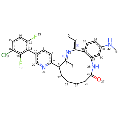 C/C=C1\N=C(/C)C(c2ccc(-c3c(F)ccc(Cl)c3F)cn2)CCCCC(=O)Nc2cc(NC)ccc21